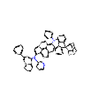 c1ccc(-c2cc(N(c3cccnc3)c3ccc4ccc5c(N(c6ccccc6)c6cccc7c6-c6ccccc6C76C7CC8CC(C7)CC6C8)ccc6ccc3c4c65)c3ccccc3c2)cc1